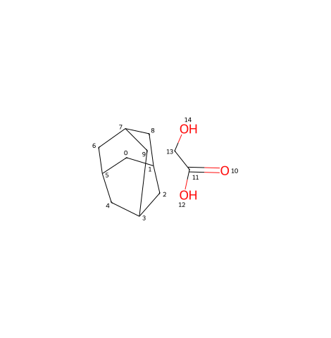 C1C2CC3CC1CC(C2)C3.O=C(O)CO